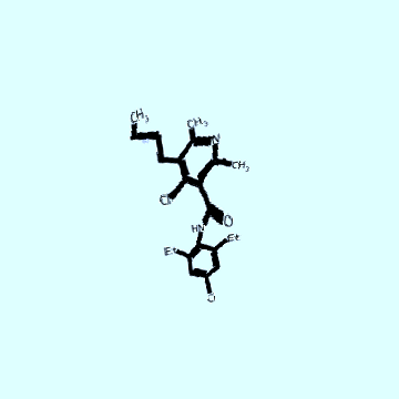 C/C=C/Cc1c(C)nc(C)c(C(=O)Nc2c(CC)cc(Cl)cc2CC)c1Cl